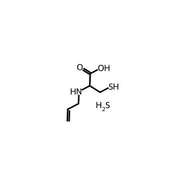 C=CCNC(CS)C(=O)O.S